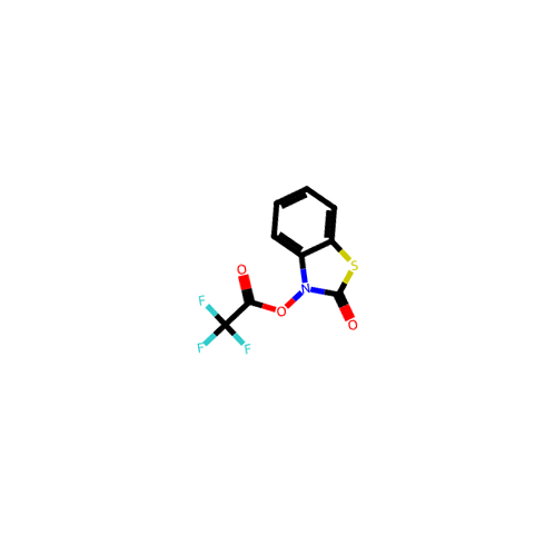 O=C(On1c(=O)sc2ccccc21)C(F)(F)F